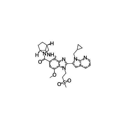 COc1cc(C(=O)N2C[C@H]3CC[C@@H]2C3N)cc2nc(-c3cc4cccnc4n3CC3CC3)n(CCS(C)(=O)=O)c12